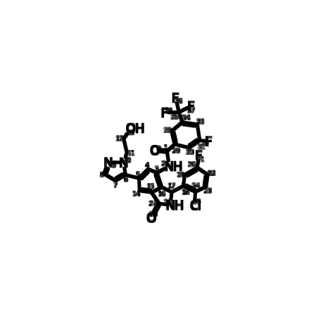 O=C(Nc1cc(-c2ccnn2CCO)cc2c1C(c1cc(F)ccc1Cl)NC2=O)c1cc(F)cc(C(F)(F)F)c1